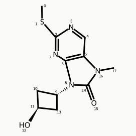 CSc1ncc2c(n1)n([C@H]1C[C@H](O)C1)c(=O)n2C